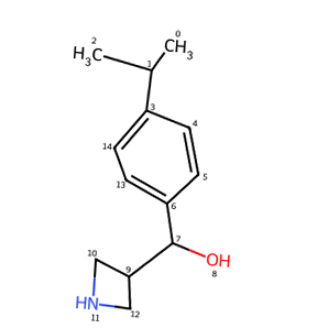 CC(C)c1ccc(C(O)C2CNC2)cc1